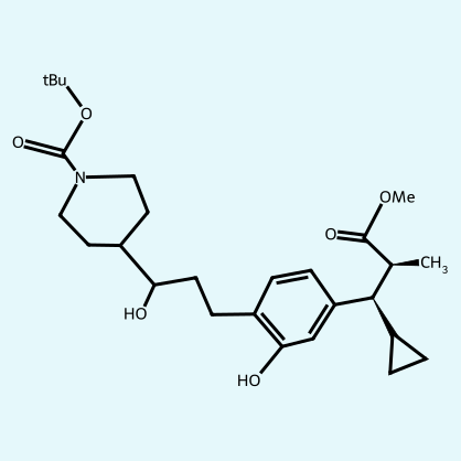 COC(=O)[C@@H](C)[C@H](c1ccc(CCC(O)C2CCN(C(=O)OC(C)(C)C)CC2)c(O)c1)C1CC1